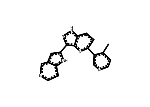 Cc1ccncc1-c1ccc2[nH]nc(-c3cc4cnccc4[nH]3)c2n1